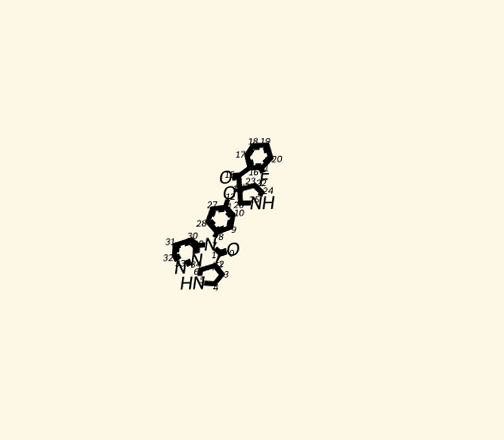 O=C([C@H]1CCNC1)N(c1ccc(O[C@@]2(C(=O)c3ccccc3F)CCNC2)cc1)c1cccnn1